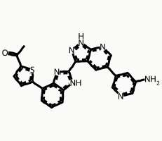 CC(=O)c1ccc(-c2cccc3[nH]c(-c4n[nH]c5ncc(-c6cncc(N)c6)cc45)nc23)s1